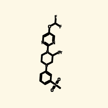 CC(C)C1CN(c2cccc(S(C)(=O)=O)c2)CCN1c1ncc(OC(F)F)cn1